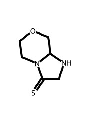 S=C1CNC2COCCN12